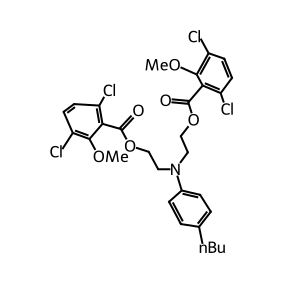 CCCCc1ccc(N(CCOC(=O)c2c(Cl)ccc(Cl)c2OC)CCOC(=O)c2c(Cl)ccc(Cl)c2OC)cc1